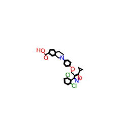 O=C(O)c1ccc2c(c1)CN(c1ccc(OCc3c(-c4c(Cl)cccc4Cl)noc3C3CC3)cc1)CC2